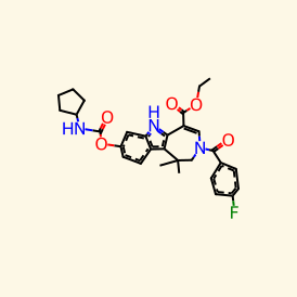 CCOC(=O)C1=CN(C(=O)c2ccc(F)cc2)CC(C)(C)c2c1[nH]c1cc(OC(=O)NC3CCCC3)ccc21